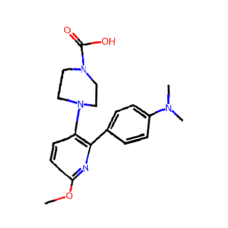 COc1ccc(N2CCN(C(=O)O)CC2)c(-c2ccc(N(C)C)cc2)n1